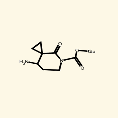 CC(C)(C)OC(=O)N1CCC(N)C2(CC2)C1=O